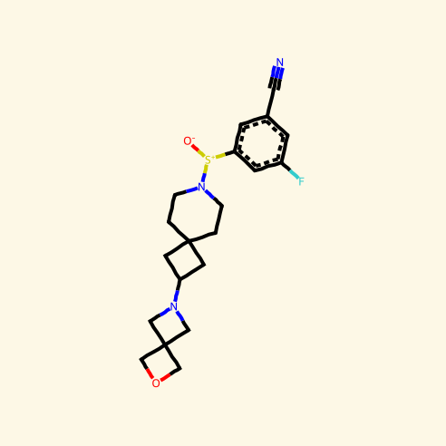 N#Cc1cc(F)cc([S+]([O-])N2CCC3(CC2)CC(N2CC4(COC4)C2)C3)c1